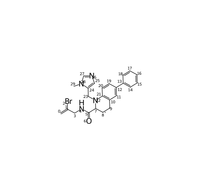 C=C(Br)CNC(=O)C1[CH]Cc2cc(-c3ccccc3)ccc2N1Cc1cncn1C